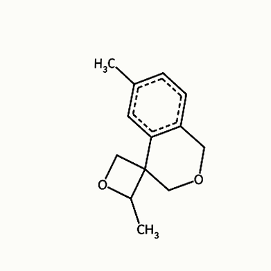 Cc1ccc2c(c1)C1(COC2)COC1C